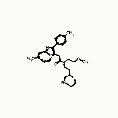 COCCN(CCC1CNCCO1)C(=O)Cc1c(-c2ccc(C)cc2)nc2cc(C)ccn12